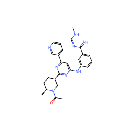 CN/C=N\C(=N)c1cccc(Nc2cc(-c3cccnc3)nc([C@@H]3CC[C@H](C)N(C(C)=O)C3)n2)c1